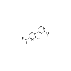 COc1cc(-c2ccc(C(F)F)nc2Cl)ccn1